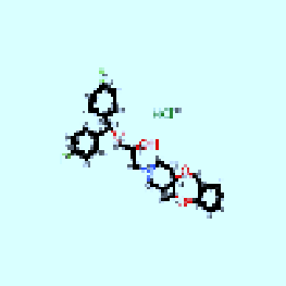 CC1Oc2ccccc2COC12CCN(CC(O)COC(c1ccc(F)cc1)c1ccc(F)cc1)CC2.Cl